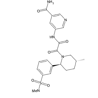 CNS(=O)(=O)c1cccc([C@@H]2CC[C@@H](C)CN2C(=O)C(=O)Nc2cncc(C(N)=O)c2)c1